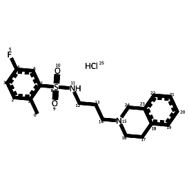 Cc1ccc(F)cc1S(=O)(=O)NCCCN1CCc2ccccc2C1.Cl